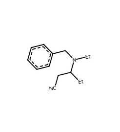 CCC(CC#N)N(CC)Cc1ccccc1